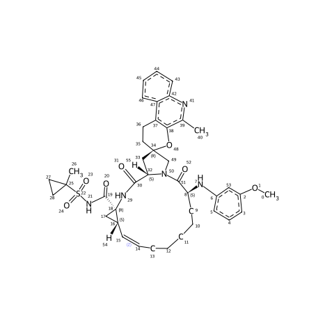 COc1cccc(N[C@H]2CCCCC/C=C\[C@@H]3C[C@@]3(C(=O)NS(=O)(=O)C3(C)CC3)NC(=O)[C@@H]3C[C@]4(CCc5c(c(C)nc6ccccc56)O4)CN3C2=O)c1